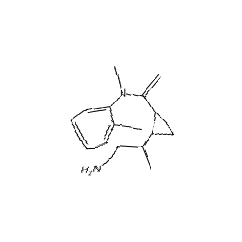 C=C(C1CC1C(C)CN)N(C)c1ccccc1C